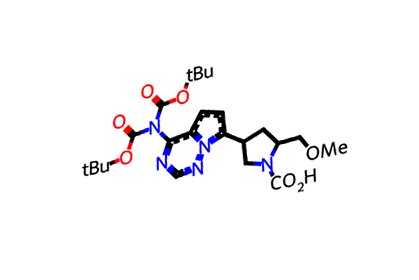 COCC1CC(c2ccc3c(N(C(=O)OC(C)(C)C)C(=O)OC(C)(C)C)ncnn23)CN1C(=O)O